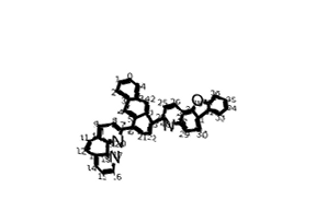 c1ccc2cc3c(-c4ccc5ccc6cccnc6c5n4)ccc(-c4ccc5c(ccc6c7ccccc7oc56)n4)c3cc2c1